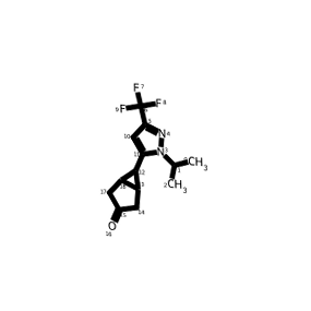 CC(C)n1nc(C(F)(F)F)cc1C1C2CC(=O)CC21